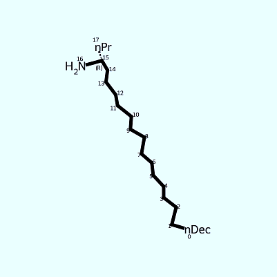 CCCCCCCCCCCCCCCCCCCCCCCC[C@H](N)CCC